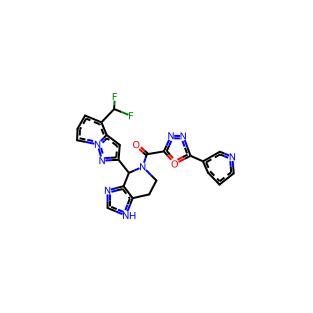 O=C(c1nnc(-c2cccnc2)o1)N1CCc2[nH]cnc2C1c1cc2c(C(F)F)cccn2n1